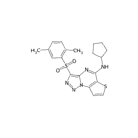 Cc1ccc(C)c(S(=O)(=O)c2nnn3c2nc(NC2CCCC2)c2sccc23)c1